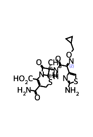 C[C@@]1(NC(=O)/C(=N\OCC2CC2)c2csc(N)n2)C(=O)N2C(C(=O)O)=C(C(N)=O)CS[C@@H]21